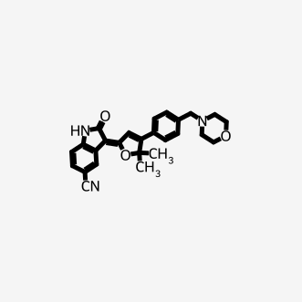 CC1(C)O/C(=C2/C(=O)Nc3ccc(C#N)cc32)C=C1c1ccc(CN2CCOCC2)cc1